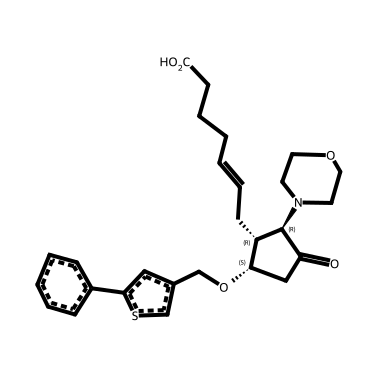 O=C(O)CCCC=CC[C@H]1[C@@H](OCc2csc(-c3ccccc3)c2)CC(=O)[C@@H]1N1CCOCC1